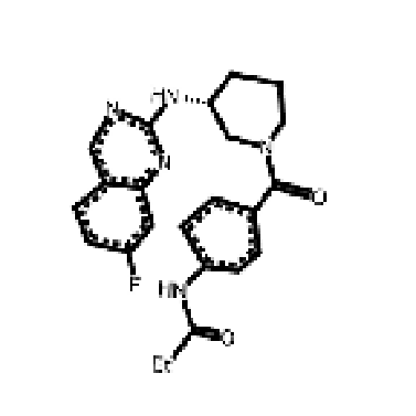 CCC(=O)Nc1ccc(C(=O)N2CCC[C@@H](Nc3ncc4ccc(F)cc4n3)C2)cc1